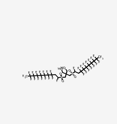 O=S(=O)(CC(CO)(CO)CS(=O)(=O)C(F)CC(F)(F)C(F)(F)C(F)(F)C(F)(F)C(F)(F)C(F)(F)C(F)(F)C(F)(F)F)C(F)CC(F)(F)C(F)(F)C(F)(F)C(F)(F)C(F)(F)C(F)(F)C(F)(F)C(F)(F)F